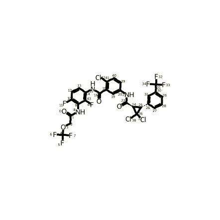 O=C(COC(F)(F)F)Nc1c(F)ccc(NC(=O)c2cc(NC(=O)[C@H]3[C@H](c4cccc(C(F)(F)F)c4)C3(Cl)Cl)ccc2Cl)c1F